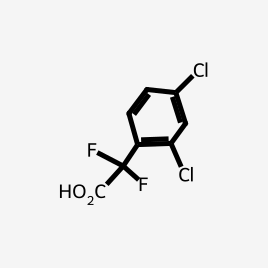 O=C(O)C(F)(F)c1ccc(Cl)cc1Cl